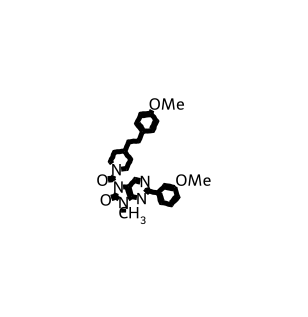 COc1ccc(CCC2CCN(C(=O)n3c(=O)n(C)c4nc(-c5cccc(OC)c5)ncc43)CC2)cc1